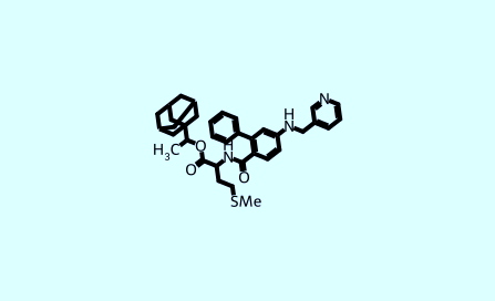 CSCCC(NC(=O)c1ccc(NCc2cccnc2)cc1-c1ccccc1)C(=O)OC(C)C12CC3CC(CC(C3)C1)C2